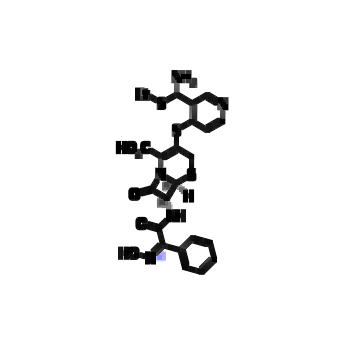 CCSC(N)c1cnccc1SC1=C(C(=O)O)N2C(=O)[C@@H](NC(=O)/C(=N\O)c3ccccc3)[C@@H]2SC1